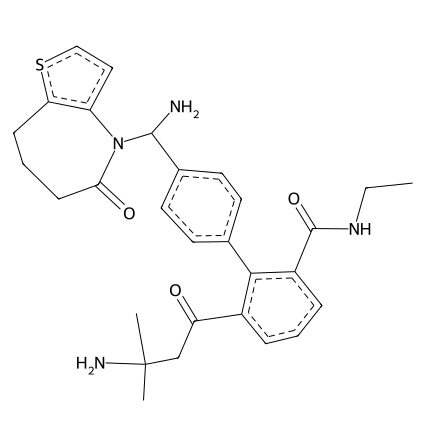 CCNC(=O)c1cccc(C(=O)CC(C)(C)N)c1-c1ccc(C(N)N2C(=O)CCCc3sccc32)cc1